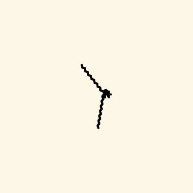 CCCCCCCCCCCCC=CC1=C(C=CCCCCCCCCCCCC)[N]C=C1